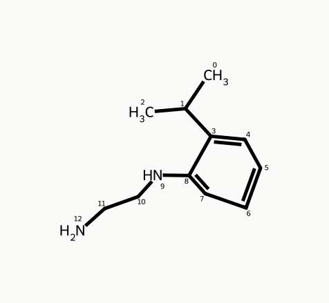 CC(C)c1ccccc1NCCN